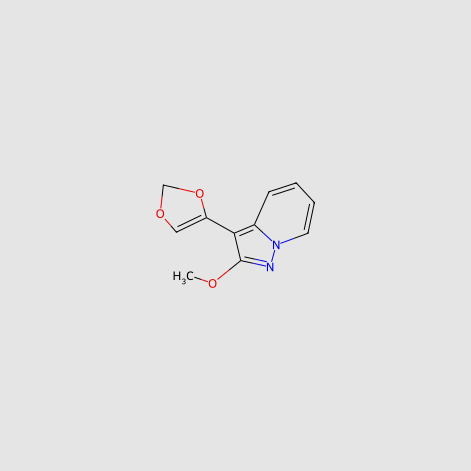 COc1nn2ccccc2c1C1=COCO1